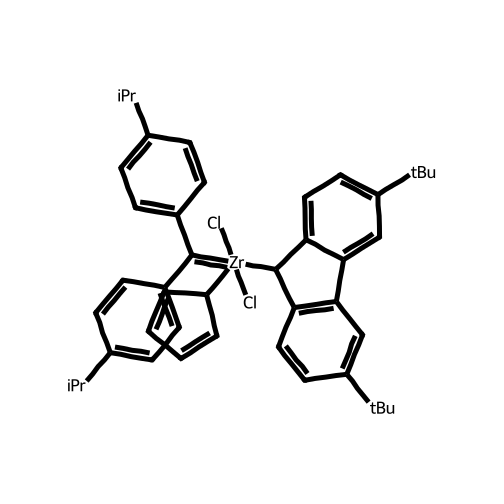 CC(C)c1ccc([C](c2ccc(C(C)C)cc2)=[Zr]([Cl])([Cl])([CH]2C=CC=C2)[CH]2c3ccc(C(C)(C)C)cc3-c3cc(C(C)(C)C)ccc32)cc1